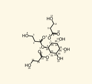 O=C(CCO)O[C@H]1[C@H](OC(=O)CCO)[C@H](O)[C@H](O)[C@@H](O)[C@@H]1OC(=O)CCO